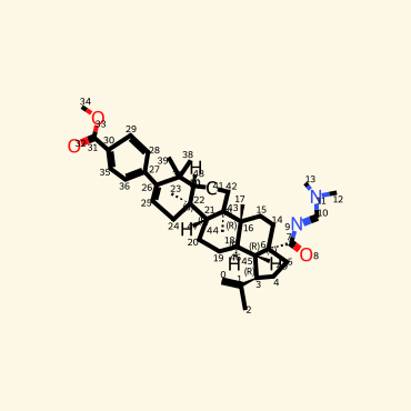 C=C(C)[C@@H]1CC[C@]2(C(=O)N=CN(C)C)CC[C@]3(C)[C@H](CC[C@@H]4[C@@]5(C)CC=C(c6ccc(C(=O)OC)cc6)C(C)(C)[C@@H]5CC[C@]43C)[C@@H]12